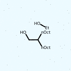 CCCCCCCCC(CO)CCCCCCCC.CCO